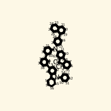 CC1(C)c2ccccc2-c2ccc(N(c3ccc(-c4cccc5ccccc45)cc3)c3cccc(-c4cccc(-c5ccc6c(c5)c5c(n6-c6ccccc6)CCC=C5)c4)c3)cc21